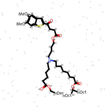 CCCCCCCCCCCOC(=O)CCCCCN(CCCCCCCC(=O)OC(CCCCCCCC)CCCCCCCC)CCCCOC(=O)CCC(=O)c1cc2cc(OC)c(OC)cc2s1